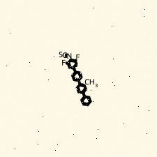 Cc1cc(-c2ccccc2)ccc1-c1ccc(-c2cc(F)c(N=C=S)c(F)c2)cc1